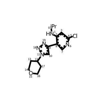 CC(C)Nc1cc(Cl)ncc1-c1cn(C2CCOCC2)nn1